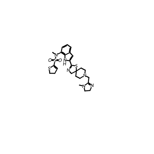 CN1CCN=C1CN1CCC2(CC1)CN=C(c1cc3cccc(N(C)S(=O)(=O)C4=CCCS4)c3[nH]1)S2